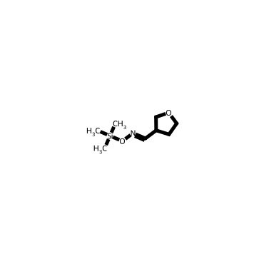 C[Si](C)(C)O/N=C/C1CCOC1